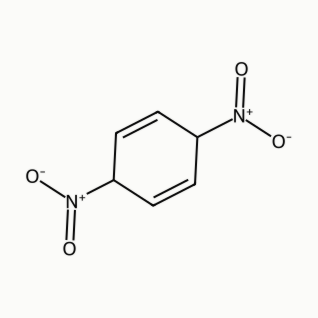 O=[N+]([O-])C1C=CC([N+](=O)[O-])C=C1